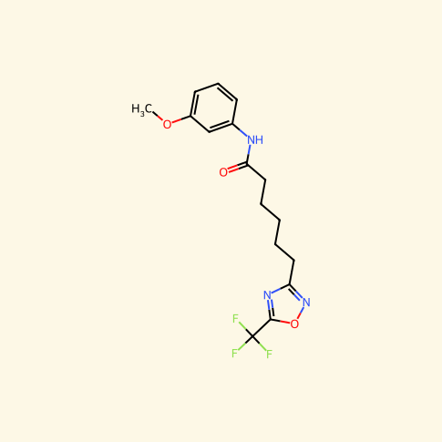 COc1cccc(NC(=O)CCCCCc2noc(C(F)(F)F)n2)c1